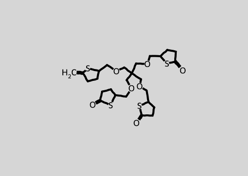 C=C1CCC(COCC(COCC2CCC(=O)S2)(COCC2CCC(=O)S2)COCC2CCC(=O)S2)S1